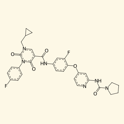 O=C(Nc1ccc(Oc2ccnc(NC(=O)N3CCCC3)c2)c(F)c1)c1cn(CC2CC2)c(=O)n(-c2ccc(F)cc2)c1=O